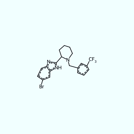 FC(F)(F)c1cccc(CN2CCCCC2c2nc3ccc(Br)cc3[nH]2)c1